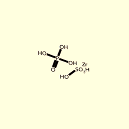 O=P(O)(O)O.O=S(=O)(O)O.[Zr]